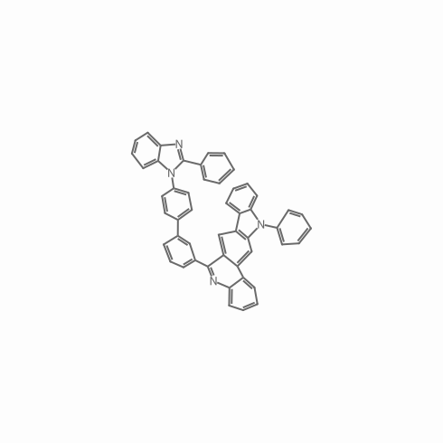 c1ccc(-c2nc3ccccc3n2-c2ccc(-c3cccc(-c4nc5ccccc5c5cc6c(cc45)c4ccccc4n6-c4ccccc4)c3)cc2)cc1